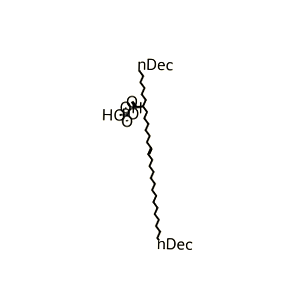 CCCCCCCCCCCCCCCCCCCCCCCCC=CCCCCCCC(CCCCCCCCCCCCCCCC)C(=O)OP(=O)(O)O